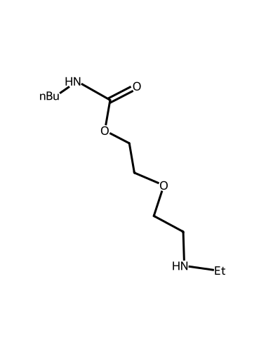 CCCCNC(=O)OCCOCCNCC